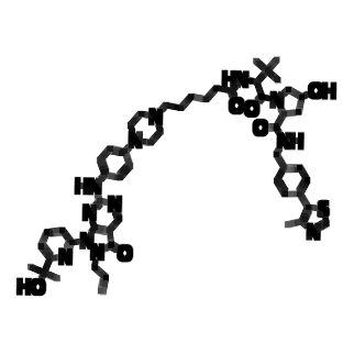 C=CCn1c(=O)c2cnc(Nc3ccc(N4CCN(CCCCCC(=O)N[C@H](C(=O)N5CC(O)CC5C(=O)NCc5ccc(-c6scnc6C)cc5)C(C)(C)C)CC4)cc3)nc2n1-c1cccc(C(C)(C)O)n1